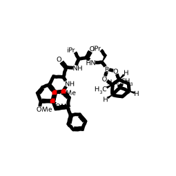 COc1ccc(CC(Nc2cccc(-c3ccccc3)c2)C(=O)NC(C(=O)N[C@@H](CC(C)C)B2O[C@@H]3C[C@@H]4C[C@@H](C4(C)C)[C@]3(C)O2)C(C)C)c(OC)c1OC